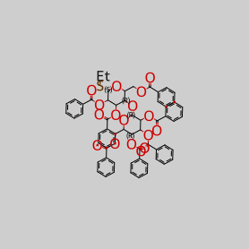 CCS[C@@H]1OC(COC(=O)c2ccccc2)[C@@H](O[C@H]2OC(COC(=O)c3ccccc3)[C@@H](OC(=O)c3ccccc3)C(OC(=O)c3ccccc3)C2OC(=O)c2ccccc2)C(OC(=O)c2ccccc2)C1OC(=O)c1ccccc1